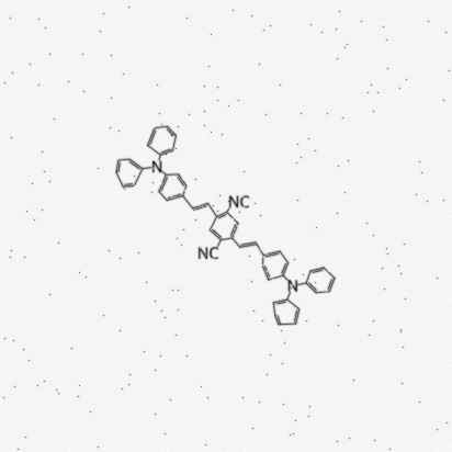 [C-]#[N+]c1cc(/C=C/c2ccc(N(c3ccccc3)c3ccccc3)cc2)c(C#N)cc1/C=C/c1ccc(N(c2ccccc2)c2ccccc2)cc1